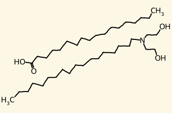 CCCCCCCCCCCCCCCCCC(=O)O.CCCCCCCCCCCCCCCCCCN(CCO)CCO